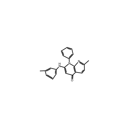 Cc1cccc(Nc2cc(=O)c3ccc(C)nc3n2-c2ccccc2)c1